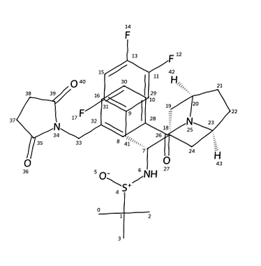 CC(C)(C)[S+]([O-])N[C@H](Cc1cc(F)c(F)cc1F)[C@@H]1C[C@H]2CC[C@@H](C1)N2C(=O)c1cccc(CN2C(=O)CCC2=O)c1